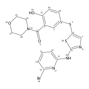 O=C(c1cc(Sc2cnc(Nc3cccc(Br)n3)s2)ccc1O)N1CCOCC1